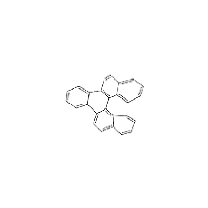 c1ccc2c(c1)ccc1c3ccccc3c3ccc4ccccc4c3c21